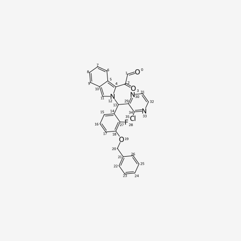 O=CC(=O)c1c2ccccc2cn1C(c1cccc(OCc2ccccc2)c1F)c1nccnc1Cl